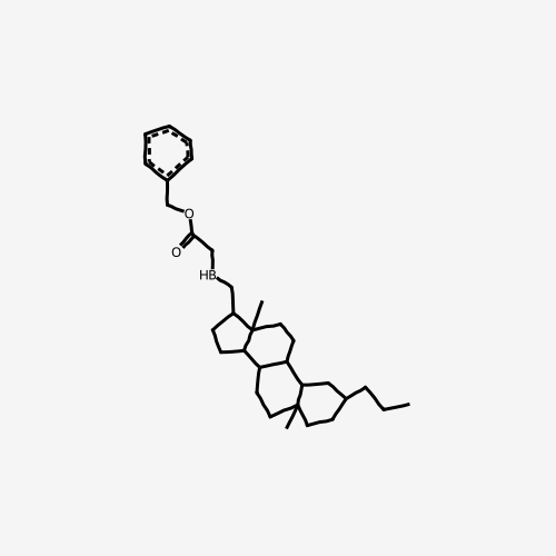 CCCC1CCC2(C)CCC3C(CCC4(C)C(CBCC(=O)OCc5ccccc5)CCC34)C2C1